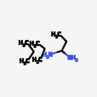 CCC.CCC.CCC(N)N